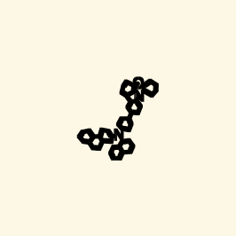 c1ccc2c(c1)Oc1cccc3c4cc(-c5ccc(N(c6ccc7c(ccc8ccccc87)c6)c6cccc7ccccc67)cc5)ccc4n-2c13